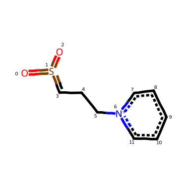 O=S(=O)=CCC[n+]1ccccc1